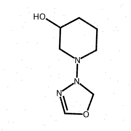 OC1CCCN(N2COC=N2)C1